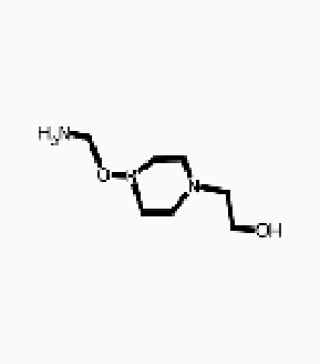 NCOB1CCN(CCO)CC1